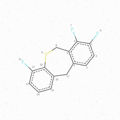 Fc1ccc2c(c1F)CSc1c(F)cccc1C2